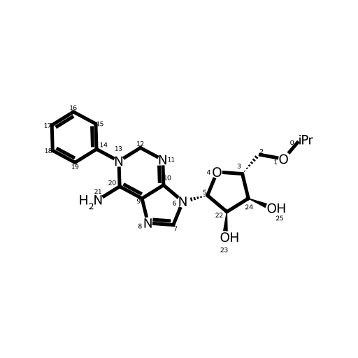 CC(C)OC[C@H]1O[C@@H](n2cnc3c2=NCN(c2ccccc2)C=3N)[C@H](O)[C@@H]1O